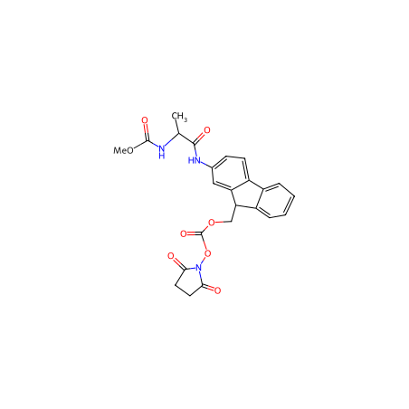 COC(=O)NC(C)C(=O)Nc1ccc2c(c1)C(COC(=O)ON1C(=O)CCC1=O)c1ccccc1-2